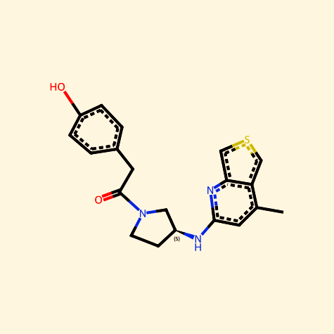 Cc1cc(N[C@H]2CCN(C(=O)Cc3ccc(O)cc3)C2)nc2cscc12